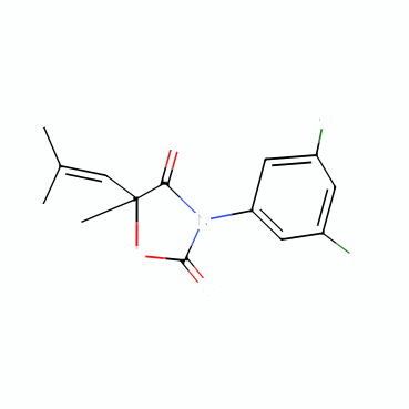 CC(C)=CC1(C)OC(=O)N(c2cc(Cl)cc(Cl)c2)C1=O